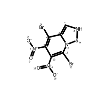 O=[N+]([O-])C1=C(Br)C2=CNSN2C(Br)=C1[N+](=O)[O-]